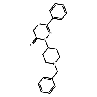 O=C1COC(c2ccccc2)=NN1C1CCN(Cc2ccccc2)CC1